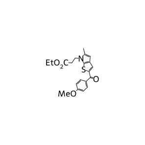 CCOC(=O)CCn1c(C)cc2cc(C(=O)c3ccc(OC)cc3)sc21